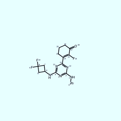 CC(C)Nc1nc(NC2CC(F)(F)C2)nc(C2=C(F)C(=O)CCC2)n1